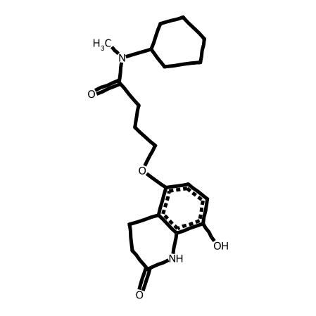 CN(C(=O)CCCOc1ccc(O)c2c1CCC(=O)N2)C1CCCCC1